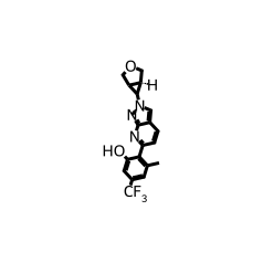 Cc1cc(C(F)(F)F)cc(O)c1-c1ccc2cn(C3C4COC[C@H]43)nc2n1